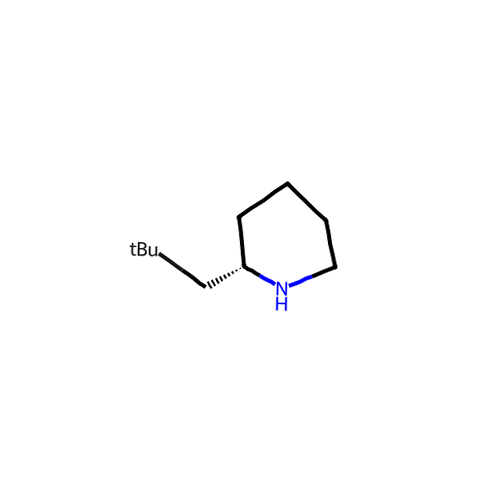 CC(C)(C)C[C@@H]1CCCCN1